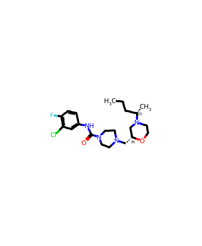 CCC[C@H](C)N1CCO[C@H](CN2CCN(C(=O)Nc3ccc(F)c(Cl)c3)CC2)C1